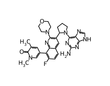 Cc1cc(-c2c(F)ccc3cc(C4CCCN4c4nc(N)nc5[nH]cnc45)c(N4CCOCC4)nc23)cn(C)c1=O